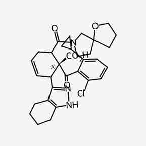 O=C(C1CC=CC(c2n[nH]c3c2CCCC3)[C@@]1(C(=O)O)C(=O)c1c(Cl)cccc1C1CC1)N1CCC2(CCCO2)C1